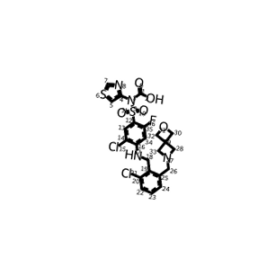 O=C(O)N(c1cscn1)S(=O)(=O)c1cc(Cl)c(NCc2c(Cl)cccc2CN2CC3(COC3)C2)cc1F